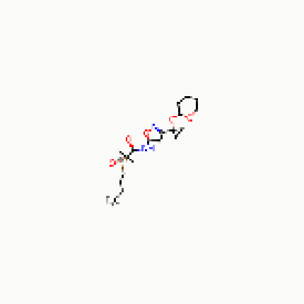 CC(C)(C(=O)Nc1cc(C2(OC3CCCCO3)CC2)no1)[S@+]([O-])CCCC(F)(F)F